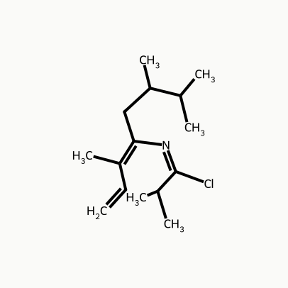 C=C/C(C)=C(CC(C)C(C)C)\N=C(\Cl)C(C)C